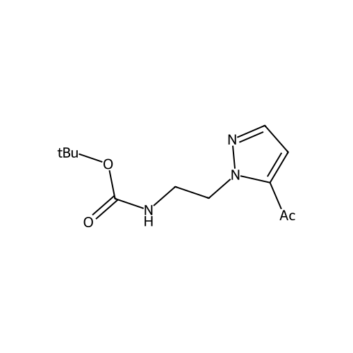 CC(=O)c1ccnn1CCNC(=O)OC(C)(C)C